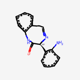 Nc1ccccc1[C@@H]1N=Cc2ccccc2NC1=O